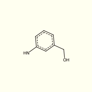 [NH]c1cccc(CO)c1